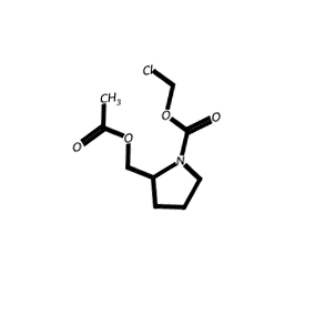 CC(=O)OCC1CCCN1C(=O)OCCl